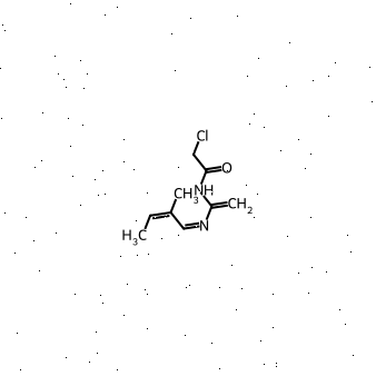 C=C(/N=C\C(C)=C/C)NC(=O)CCl